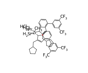 CC[CH2][Zr]([CH3])(=[SiH2])([CH]1C(CC2CCCC2)=Cc2c(-c3cc(C(F)(F)F)cc(C(F)(F)F)c3)cccc21)[CH]1C(CC2CCCC2)=Cc2c(-c3cc(C(F)(F)F)cc(C(F)(F)F)c3)cccc21.Cl.Cl